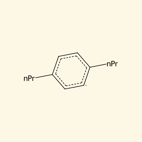 CCCc1[c]cc(CCC)cc1